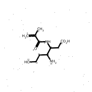 C=C(C)C(=O)NC(CC(=O)O)C(N)CCO